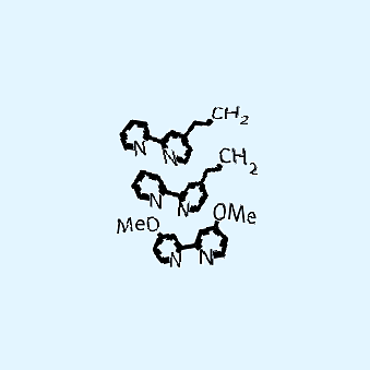 C=CCc1ccnc(-c2ccccn2)c1.C=CCc1ccnc(-c2ccccn2)c1.COc1ccnc(-c2cc(OC)ccn2)c1